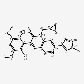 COc1cc(OC)c(Cl)c(-c2cc3cnc(-c4cnn(C)c4)cc3n(CC3CC3)c2=O)c1Cl